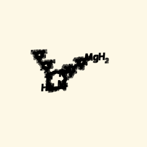 C1=Cc2cc3ccc(cc4nc(cc5ccc(cc1n2)[nH]5)C=C4)[nH]3.Cc1cc(C)cc(C)c1.Cc1cc(C)cc(C)c1.Cc1cc(C)cc(C)c1.Cc1cc(C)cc(C)c1.[MgH2]